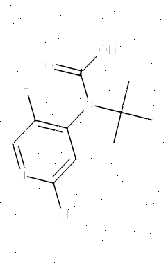 CC(C)(C)N(C(=O)O)c1cc(Cl)ncc1F